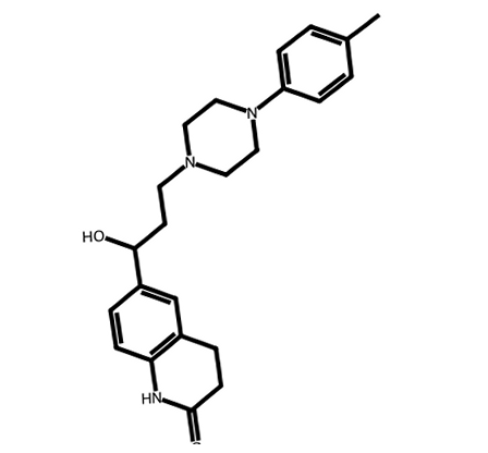 Cc1ccc(N2CCN(CCC(O)c3ccc4c(c3)CCC(=O)N4)CC2)cc1